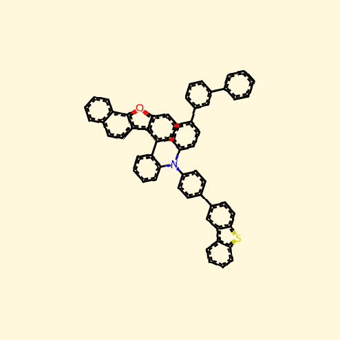 c1ccc(-c2cccc(-c3ccc(N(c4ccc(-c5ccc6sc7ccccc7c6c5)cc4)c4ccccc4-c4cccc5oc6c7ccccc7ccc6c45)cc3)c2)cc1